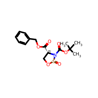 CC(C)(C)OC(=O)N1[C@@H](C(=O)OCc2ccccc2)COS1=O